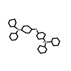 C1CCC([SH](C2CCCCC2)C2CCC(SC3CCC([SH](C4CCCCC4)C4CCCCC4)CC3)CC2)CC1